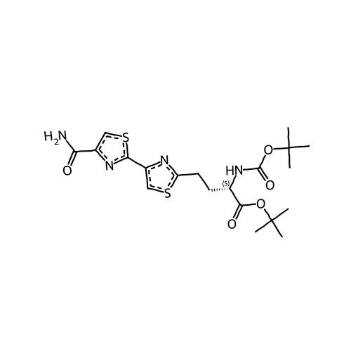 CC(C)(C)OC(=O)N[C@@H](CCc1nc(-c2nc(C(N)=O)cs2)cs1)C(=O)OC(C)(C)C